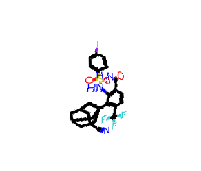 N#CC12CC3CC(C1)CC(c1c(C(F)(F)F)ccc(C(N)=O)c1NS(=O)(=O)c1ccc(I)cc1)(C3)C2